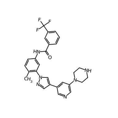 Cc1ccc(NC(=O)c2cccc(C(F)(F)F)c2)cc1-n1cc(-c2cncc(N3CCNCC3)c2)cn1